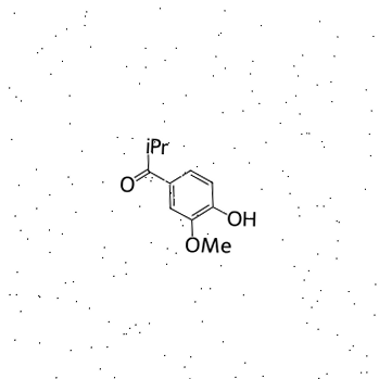 COc1cc(C(=O)C(C)C)ccc1O